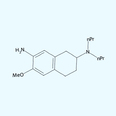 CCCN(CCC)C1CCc2cc(OC)c(N)cc2C1